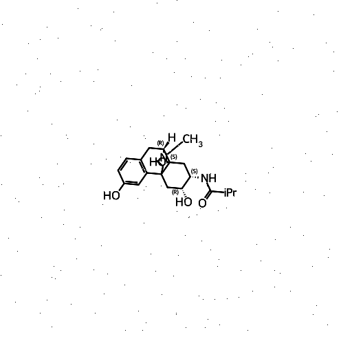 CC(C)C(=O)N[C@H]1C[C@@]2(O)[C@H]3Cc4ccc(O)cc4C2(CCN3C)C[C@H]1O